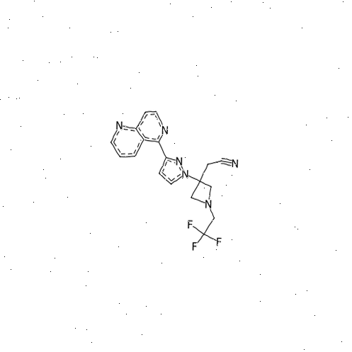 N#CCC1(n2ccc(-c3nccc4ncccc34)n2)CN(CC(F)(F)F)C1